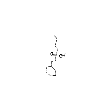 CCCCP(=O)(O)CCC1CCCCC1